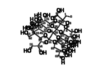 CCC(OCC(O)CO)(C(=O)O)C(OCC(O)CO)(OCC(O)CO)C(OCC(O)CO)(OCC(O)CO)C(OCC(O)CO)(OCC(O)CO)C(OCC(O)CO)(OCC(O)CO)OCC(O)CO